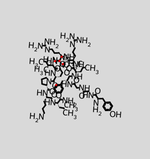 CCC(C)[C@H](NC(=O)[C@@H](CCCN=C(N)N)NC(=O)[C@@H](CCCN=C(N)N)NC(=O)[C@@H](CC(C)C)NC(=O)[C@@H](Cc1ccccc1)NC(=O)CNC(=O)CNC(=O)[C@H](N)Cc1ccc(O)cc1)C(=O)N[C@H](CCCN=C(N)N)C(=O)N1CCC[C@H]1C(=O)N[C@@H](CCCCN)C(=O)N[C@@H](CC(C)C)C(N)=O